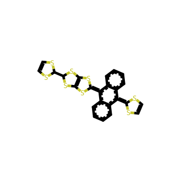 C1=CSC(=c2c3ccccc3c(=C3SC4=C(S3)SC(C3SC=CS3)S4)c3ccccc23)S1